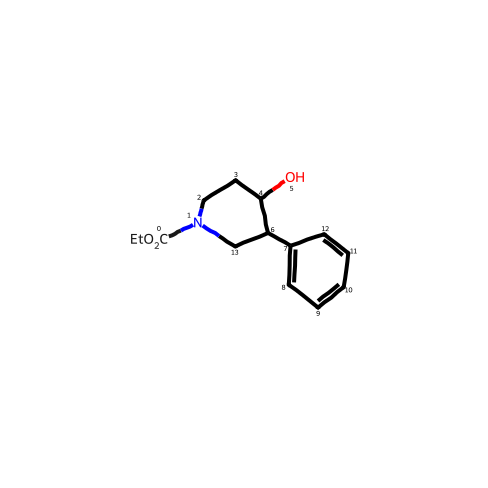 CCOC(=O)N1CCC(O)C(c2ccccc2)C1